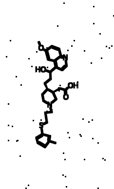 COc1ccc2nccc(C(O)CC[C@@H]3CCN(CCCSc4cccc(C)c4)C[C@@H]3CC(=O)O)c2c1